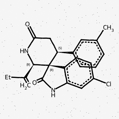 C=C(CC)[C@H]1NC(=O)C[C@@H](c2cccc(C)c2)[C@]12C(=O)Nc1cc(Cl)ccc12